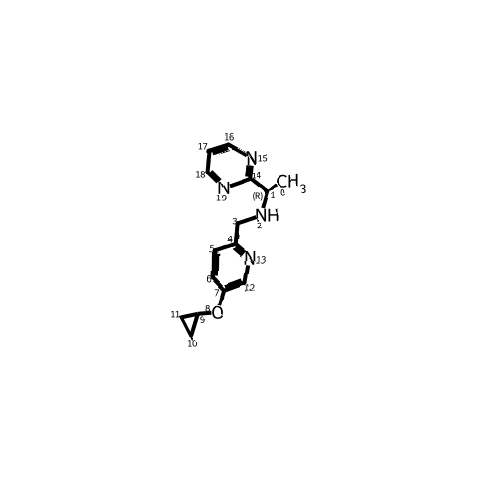 C[C@@H](NCc1ccc(OC2CC2)cn1)c1ncccn1